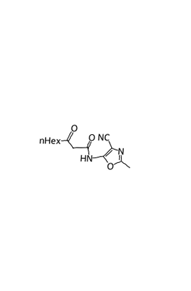 CCCCCCC(=O)CC(=O)Nc1oc(C)nc1C#N